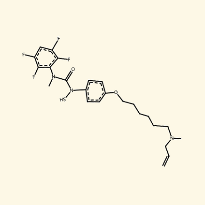 C=CCN(C)CCCCCCOc1ccc(N(S)C(=O)N(C)c2c(F)c(F)cc(F)c2F)cc1